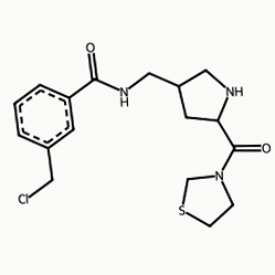 O=C(NCC1CNC(C(=O)N2CCSC2)C1)c1cccc(CCl)c1